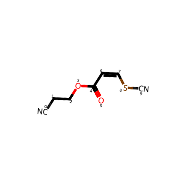 N#CCCOC(=O)/C=C\SC#N